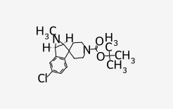 CN1[C@@H]2c3cc(Cl)ccc3C3(CCN(C(=O)OC(C)(C)C)CC3)[C@@H]21